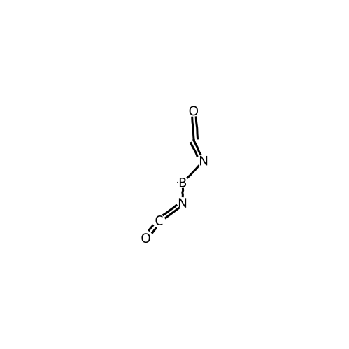 O=C=N[B]N=C=O